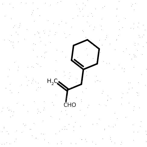 C=C(C=O)CC1=CCCCC1